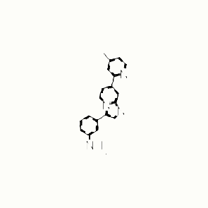 Cc1ccnc(-c2ccn3c(-c4cccc(N)c4)cnc3c2)c1